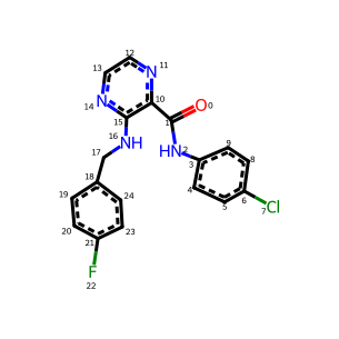 O=C(Nc1ccc(Cl)cc1)c1nccnc1NCc1ccc(F)cc1